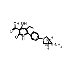 CCc1c(-c2ccc(N3C[C@@H]4[C@H](N)[C@@H]4C3)cc2)[nH]c(=O)c(C(=O)O)c1O